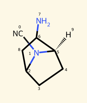 N#CN1C2CC[C@@H]1C(N)C2